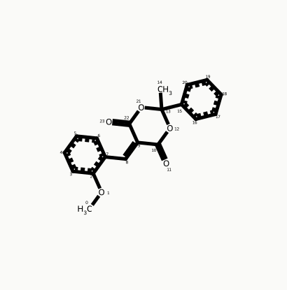 COc1ccccc1C=C1C(=O)OC(C)(c2ccccc2)OC1=O